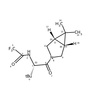 CC(C)(C)[C@H](NC(=O)C(F)(F)F)C(=O)N1C[C@@H]2[C@H](C1)C2(C)C